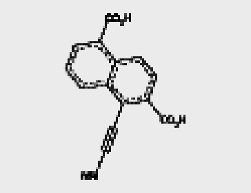 CCCCC#Cc1c(C(=O)O)ccc2c(C(=O)O)cccc12